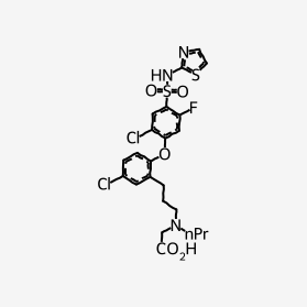 CCCN(CCCc1cc(Cl)ccc1Oc1cc(F)c(S(=O)(=O)Nc2nccs2)cc1Cl)CC(=O)O